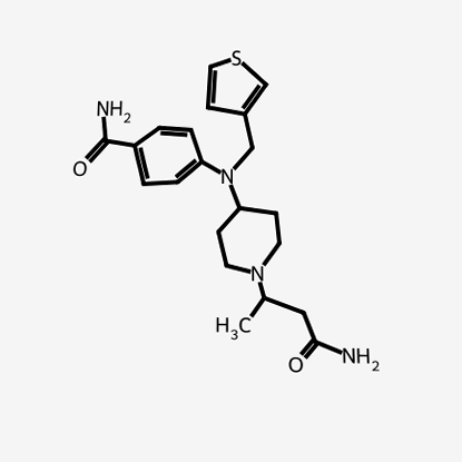 CC(CC(N)=O)N1CCC(N(Cc2ccsc2)c2ccc(C(N)=O)cc2)CC1